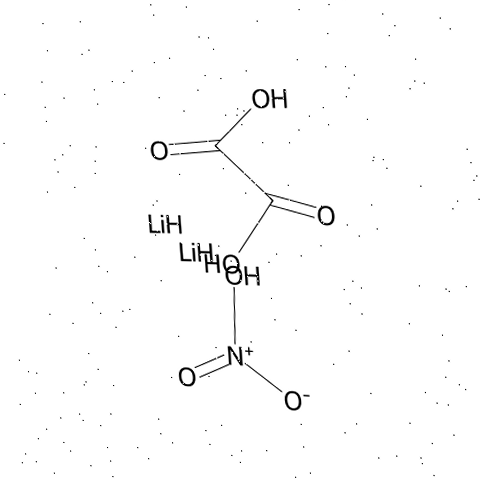 O=C(O)C(=O)O.O=[N+]([O-])O.[LiH].[LiH]